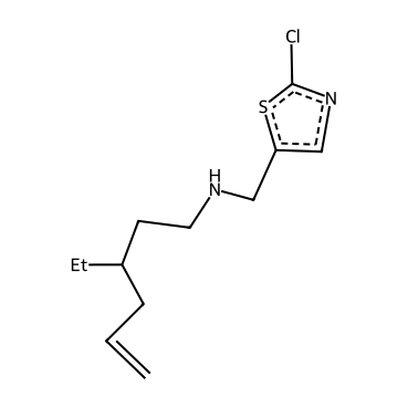 C=CCC(CC)CCNCc1cnc(Cl)s1